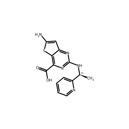 C[C@H](Nc1nc(C(=O)O)c2sc(N)cc2n1)c1ccccn1